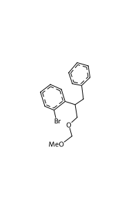 COCOCC(Cc1ccccc1)c1ccccc1Br